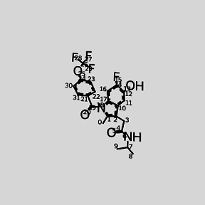 Cc1c(CC(=O)NC(C)C)c2cc(O)c(F)cc2n1C(=O)c1ccc(OC(F)(F)F)cc1